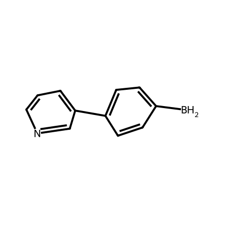 Bc1ccc(-c2cccnc2)cc1